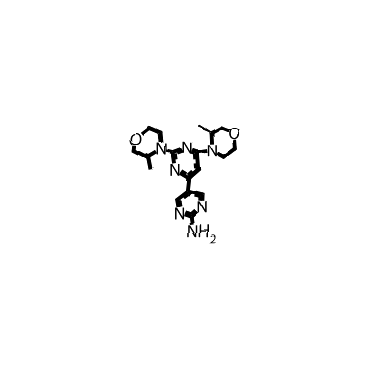 CC1COCCN1c1nc(-c2cnc(N)nc2)cc(N2CCOC[C@@H]2C)n1